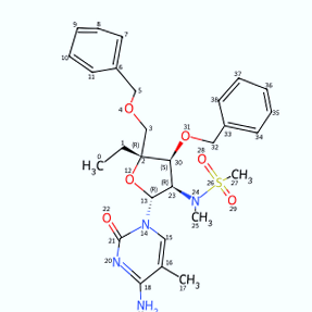 CC[C@]1(COCc2ccccc2)O[C@@H](n2cc(C)c(N)nc2=O)[C@H](N(C)S(C)(=O)=O)[C@@H]1OCc1ccccc1